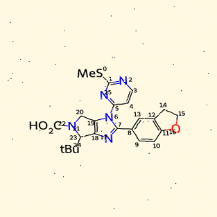 CSc1nccc(-n2c(-c3ccc4c(c3)CCO4)nc3c2CN(C(=O)O)C3C(C)(C)C)n1